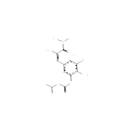 CCC(CC)OC(=O)Oc1cc(C=C(C#N)C(=O)N(CC)CC)cc([N+](=O)[O-])c1O